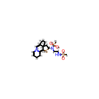 CS(=O)(=O)NCCN([C@H]1CC23CCCCC2=CN2C=CCCC2=C3S1)S(C)(=O)=O